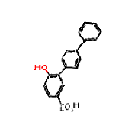 O=C(O)c1ccc(O)c(-c2ccc(-c3ccccc3)cc2)c1